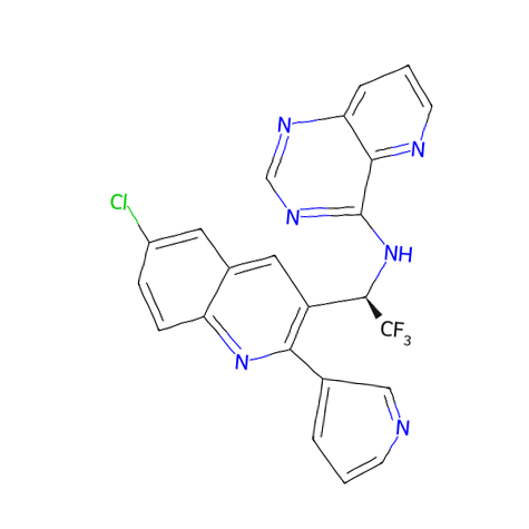 FC(F)(F)[C@H](Nc1ncnc2cccnc12)c1cc2cc(Cl)ccc2nc1-c1cccnc1